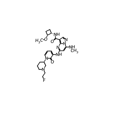 CNc1cc(Nc2cccn([C@@H]3CCCN(CCF)C3)c2=O)nc2c(C(=O)N[C@H]3CC[C@@H]3OC)cnn12